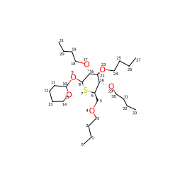 CCCCOC[C@H]1SC(OC2CCCCO2)[C@H](OCCCC)[C@@H](OCCCC)[C@@H]1OCCCC